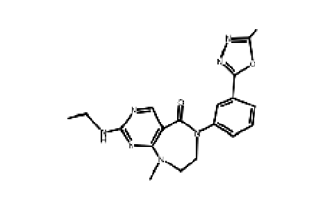 CCNc1ncc2c(n1)N(C)CCN(c1cccc(-c3nnc(C)o3)c1)C2=O